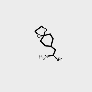 CC(C)[C@@H](N)CC1CCC2(CC1)OCCO2